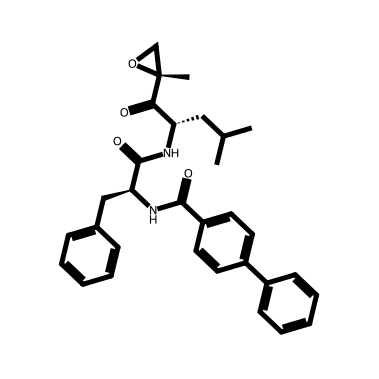 CC(C)C[C@H](NC(=O)[C@H](Cc1ccccc1)NC(=O)c1ccc(-c2ccccc2)cc1)C(=O)[C@@]1(C)CO1